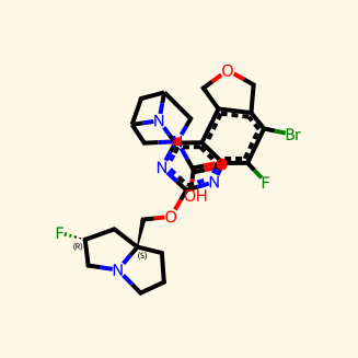 O=C(O)N1CC2CC(C1)N2c1nc(OC[C@@]23CCCN2C[C@H](F)C3)nc2c(F)c(Br)c3c(c12)COC3